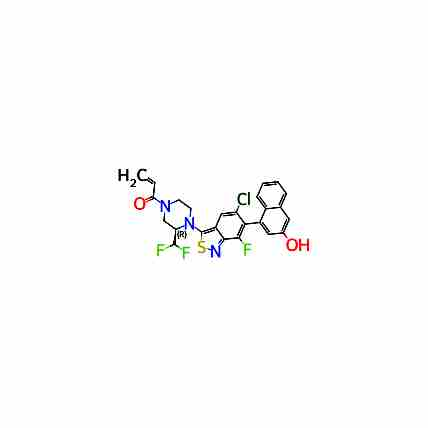 C=CC(=O)N1CCN(c2snc3c(F)c(-c4cc(O)cc5ccccc45)c(Cl)cc23)[C@@H](C(F)F)C1